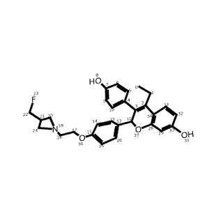 CCC1=C(c2ccc(O)cc2)C(c2ccc(OCCN3CC(CF)C3)cc2)Oc2cc(O)ccc21